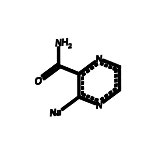 NC(=O)c1nccn[c]1[Na]